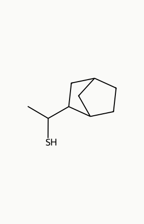 CC(S)C1CC2CCC1C2